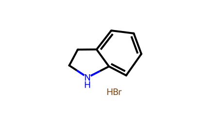 Br.c1ccc2c(c1)CCN2